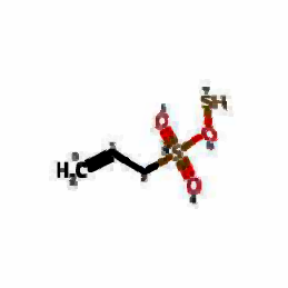 C=CCS(=O)(=O)OS